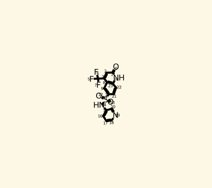 O=c1cc(C(F)(F)F)c2cc(S(=O)(=O)Nc3cccnc3)ccc2[nH]1